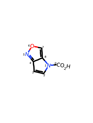 O=C(O)n1ccc2nocc21